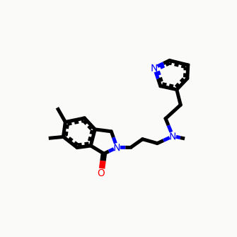 Cc1cc2c(cc1C)C(=O)N(CCCN(C)CCc1cccnc1)C2